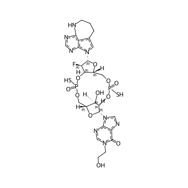 O=c1c2ncn([C@@H]3O[C@@H]4COP(=O)(S)O[C@H]5[C@@H](F)[C@H](n6cc7c8c(ncnc86)NCCC7)O[C@@H]5COP(=O)(S)O[C@@H]3[C@@H]4O)c2ncn1CCO